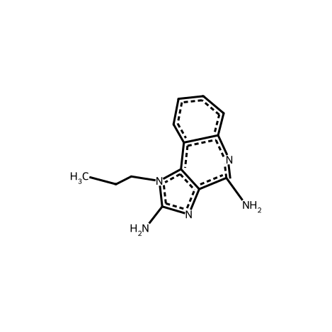 CCCn1c(N)nc2c(N)nc3ccccc3c21